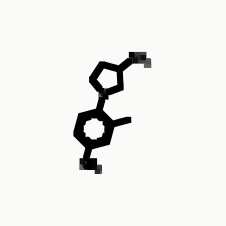 Cc1cc(N)ccc1N1CCC(N)C1